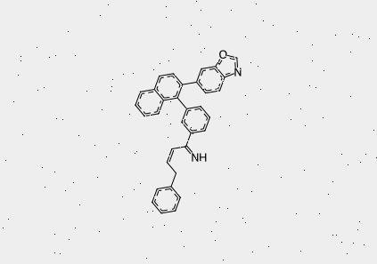 N=C(/C=C\Cc1ccccc1)c1cccc(-c2c(-c3ccc4ncoc4c3)ccc3ccccc23)c1